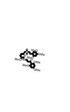 COc1cc(OC)c(C=CS(=O)(=O)Cc2ccc(OC)c(NC=CC(=O)c3c(OC)cc(OC)cc3OC)n2)c(OC)c1